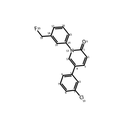 O=c1ccc(-c2cccc(Cl)c2)cn1-c1cccc(CF)c1